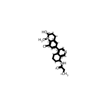 CCC(=O)NC1CCCc2c(-c3cc(Cl)c4c(c3)CCC(O)N4C)cncc21